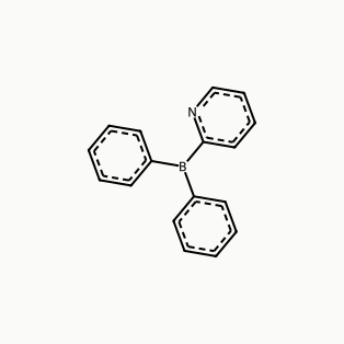 c1ccc(B(c2ccccc2)c2ccccn2)cc1